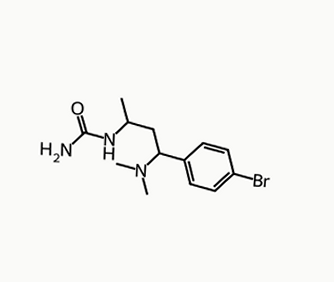 CC(CC(c1ccc(Br)cc1)N(C)C)NC(N)=O